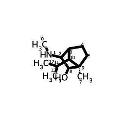 CNC1C2CC[C@@](C)(C1O)C2C(C)C